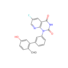 O=Cc1ccc(O)cc1-c1cccc(-n2c(=O)[nH]c(=O)c3cc(F)cnc32)c1